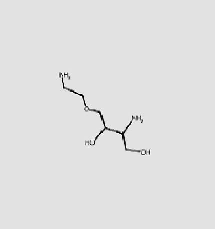 NCCOCC(O)C(N)CO